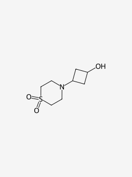 O=S1(=O)CCN(C2CC(O)C2)CC1